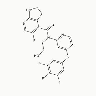 O=C(c1c(F)ccc2c1CCN2)N(CCO)c1cc(Cc2cc(F)c(F)c(F)c2)ccn1